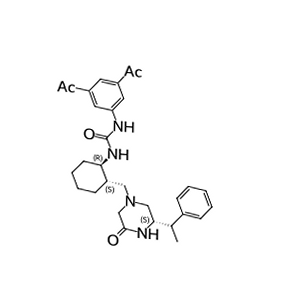 CC(=O)c1cc(NC(=O)N[C@@H]2CCCC[C@H]2CN2CC(=O)N[C@@H](C(C)c3ccccc3)C2)cc(C(C)=O)c1